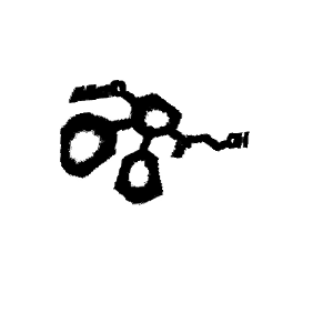 COc1ccc(N(C)CCO)c(-c2ccccc2)c1-c1ccccc1